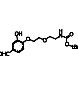 CC(C)(C)OC(=O)NCCOCCOc1ccc(C=O)cc1O